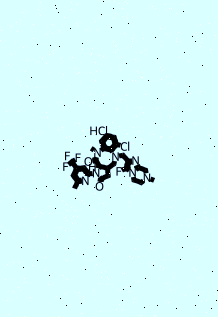 Cc1cc(C(F)(F)F)cc(N2C(=O)CC3CN(Cc4nc5n(c4F)CCN(C)C5)c4c(Cl)cccc4N(C)C(=O)[C@H]32)n1.Cl